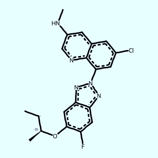 C[CH][C@H](C)Oc1cc2nn(-c3cc(Cl)cc4cc(NC)cnc34)nc2cc1F